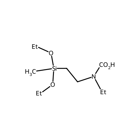 CCO[Si](C)(CCN(CC)C(=O)O)OCC